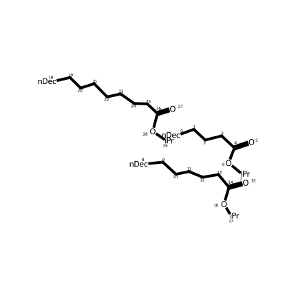 CCCCCCCCCCCCCC(=O)OC(C)C.CCCCCCCCCCCCCCCC(=O)OC(C)C.CCCCCCCCCCCCCCCCCC(=O)OC(C)C